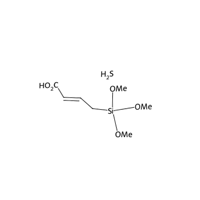 CO[Si](CC=CC(=O)O)(OC)OC.S